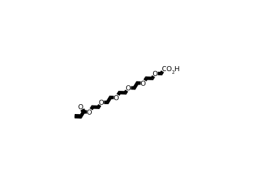 C=CC(=O)OCCOCCOCCOCCOCCOCC(=O)O